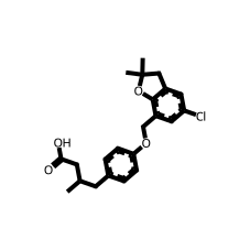 CC(CC(=O)O)Cc1ccc(OCc2cc(Cl)cc3c2OC(C)(C)C3)cc1